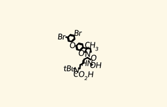 CC1(c2ccc(Oc3cc(Br)cc(Br)c3)cc2)CCN(C(CCCCN(C(=O)O)C(C)(C)C)C(=O)NO)C1=O